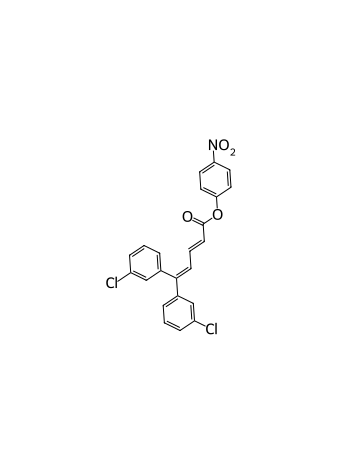 O=C(/C=C/C=C(c1cccc(Cl)c1)c1cccc(Cl)c1)Oc1ccc([N+](=O)[O-])cc1